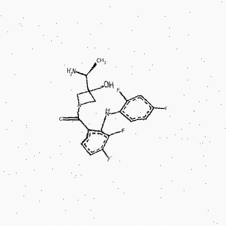 C[C@H](N)C1(O)CN(C(=O)c2ccc(F)c(F)c2Nc2ccc(I)cc2F)C1